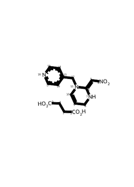 O=C(O)CCC(=O)O.O=[N+]([O-])C=C1NCC=CN1Cc1ccncc1